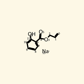 C=CCOC(=O)c1ccccc1O.[Na]